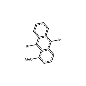 COc1cccc2c(Br)c3ccccc3c(Br)c12